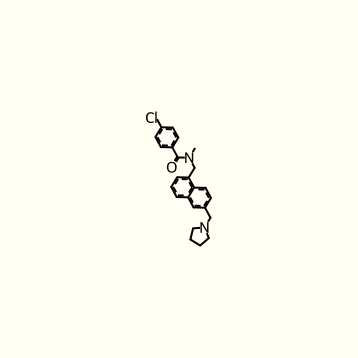 CN(Cc1cccc2cc(CN3CCCC3)ccc12)C(=O)c1ccc(Cl)cc1